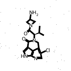 CC(C)[C@H](C(=O)N1CC(N)C1)N1Cc2c(Cl)cnc3[nH]cc(c23)C1=O